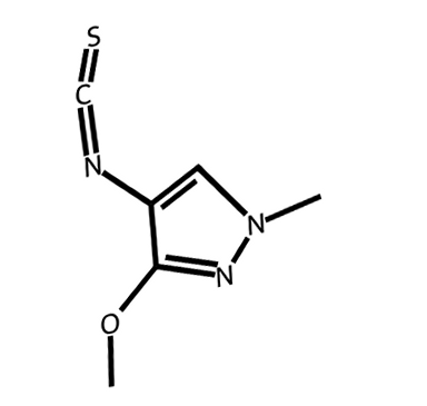 COc1nn(C)cc1N=C=S